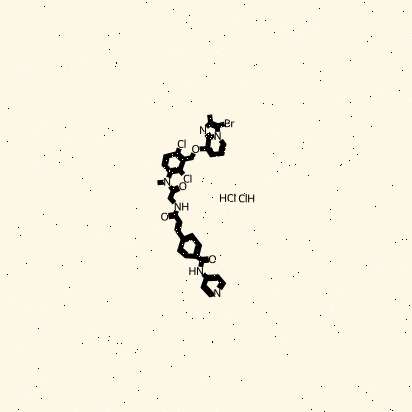 Cc1nc2c(OCc3c(Cl)ccc(N(C)C(=O)CNC(=O)/C=C/c4ccc(C(=O)Nc5ccncc5)cc4)c3Cl)cccn2c1Br.Cl.Cl